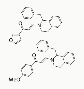 COc1ccc(C(=O)C=CN2CCc3ccccc3C2Cc2ccccc2)cc1.O=C(C=CN1CCc2ccccc2C1Cc1ccccc1)c1ccoc1